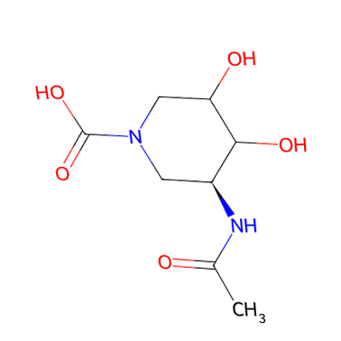 CC(=O)N[C@H]1CN(C(=O)O)CC(O)C1O